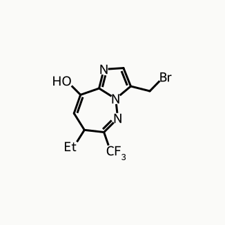 CCC1C=C(O)c2ncc(CBr)n2N=C1C(F)(F)F